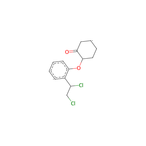 O=C1C[CH]CCC1Oc1ccc[c]c1C(Cl)CCl